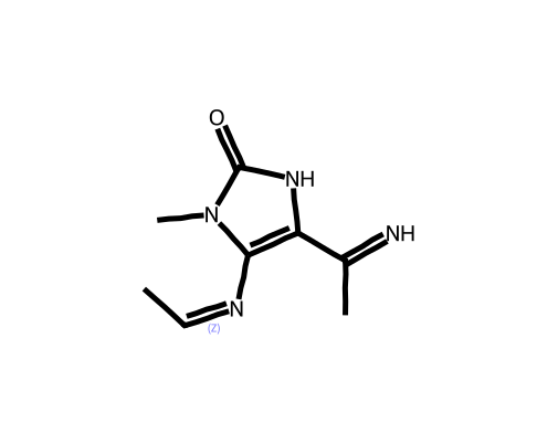 C/C=N\c1c(C(C)=N)[nH]c(=O)n1C